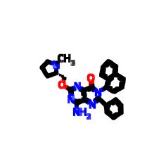 CN1CCC[C@H]1COc1nc(N)c2nc(-c3ccccc3)n(-c3cccc4ccccc34)c(=O)c2n1